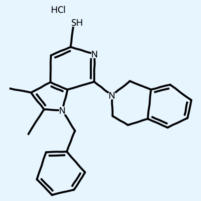 Cc1c(C)n(Cc2ccccc2)c2c(N3CCc4ccccc4C3)nc(S)cc12.Cl